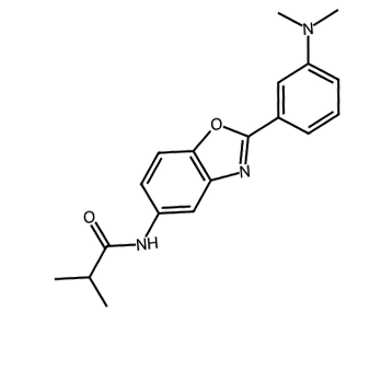 CC(C)C(=O)Nc1ccc2oc(-c3cccc(N(C)C)c3)nc2c1